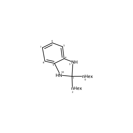 CCCCCCC1(CCCCCC)Nc2ccccc2N1